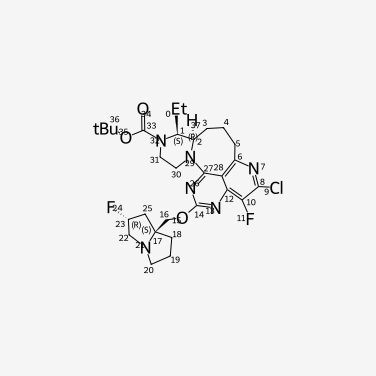 CC[C@H]1[C@H]2CCCc3nc(Cl)c(F)c4nc(OC[C@@]56CCCN5C[C@H](F)C6)nc(c34)N2CCN1C(=O)OC(C)(C)C